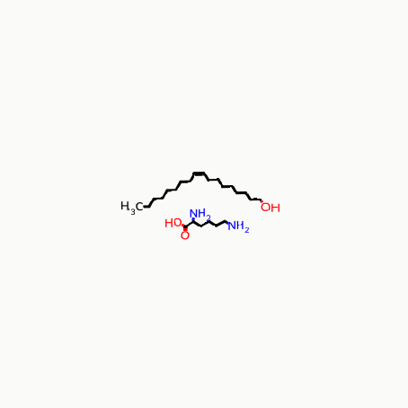 CCCCCCCC/C=C\CCCCCCCCO.NCCCCC(N)C(=O)O